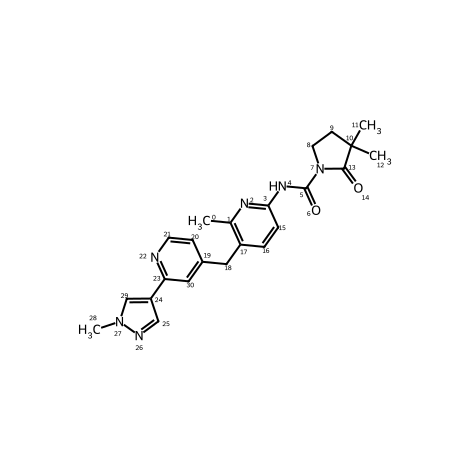 Cc1nc(NC(=O)N2CCC(C)(C)C2=O)ccc1Cc1ccnc(-c2cnn(C)c2)c1